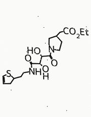 CCOC(=O)CC1CCN(C(=O)[C@H](O)[C@@H](O)C(=O)NCCC2CC=CS2)CC1